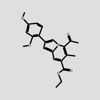 CCOC(=O)c1cc2cc(-c3ccc(OC)cc3OC)cn2c(C(C)=O)c1C